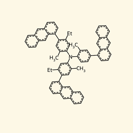 CCc1cc(N(c2ccc(-c3cccc4cc5ccccc5cc34)cc2C)c2cc(CC)c(-c3cccc4cc5ccccc5cc34)cc2C)c(C)cc1-c1cccc2cc3ccccc3cc12